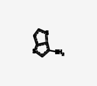 Bc1csc2ccsc12